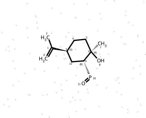 C=C(C)[C@H]1CC[C@@](C)(O)[C@H](P=O)C1